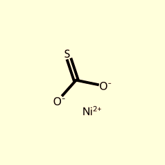 [Ni+2].[O-]C([O-])=S